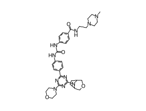 CN1CCN(CCNC(=O)c2ccc(NC(=O)Nc3ccc(-c4nc(N5CCOCC5)nc(N5C6CCC5COC6)n4)cc3)cc2)CC1